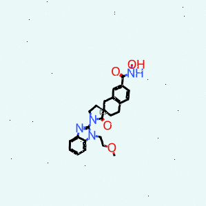 COCCn1c(N2CC[C@@]3(CCc4ccc(C(=O)NO)cc4C3)C2=O)nc2ccccc21